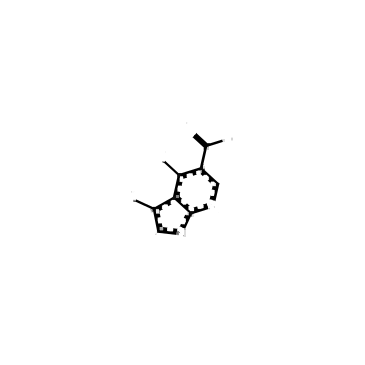 O=C(O)c1cnc2[nH]cc(Cl)c2c1Cl